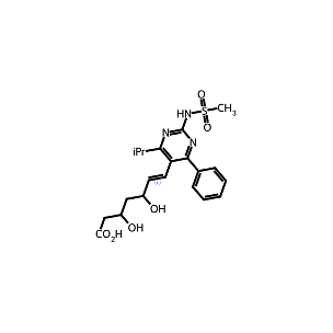 CC(C)c1nc(NS(C)(=O)=O)nc(-c2ccccc2)c1/C=C/C(O)CC(O)CC(=O)O